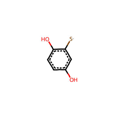 Oc1ccc(O)c([S])c1